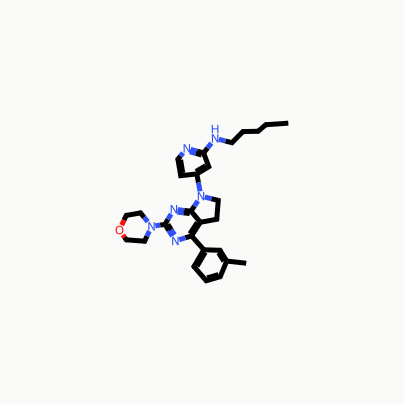 CCCCCNc1cc(N2CCc3c(-c4cccc(C)c4)nc(N4CCOCC4)nc32)ccn1